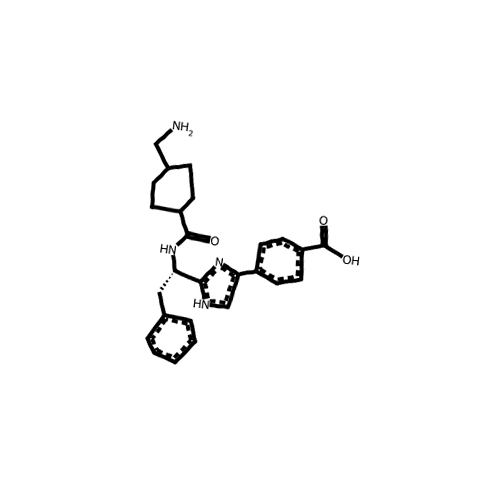 NCC1CCC(C(=O)N[C@@H](Cc2ccccc2)c2nc(-c3ccc(C(=O)O)cc3)c[nH]2)CC1